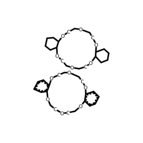 C1CCC2OCCOCCOC3CCCCC3OCCOCCOC2C1.c1ccc2c(c1)OCCOCCOc1ccccc1OCCOCCO2